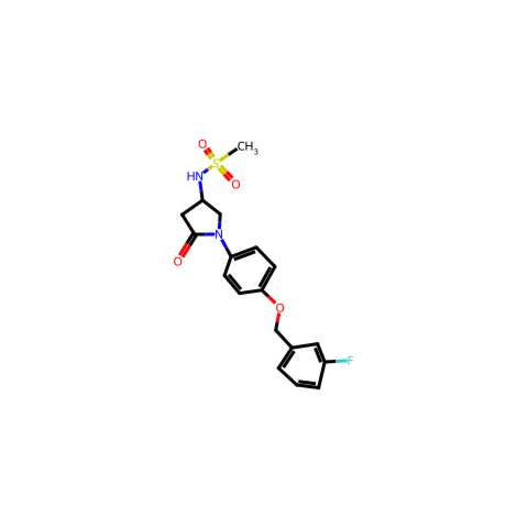 CS(=O)(=O)NC1CC(=O)N(c2ccc(OCc3cccc(F)c3)cc2)C1